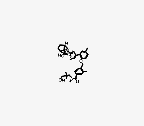 Cc1ccc(OCc2ccc(C(=O)N(C)CC(C)(C)CO)cc2C)c(-c2csc(N3CC4CC[C@@H](C3)[C@H]4C(=O)O)n2)c1